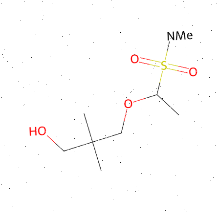 CNS(=O)(=O)C(C)OCC(C)(C)CO